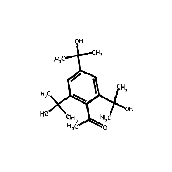 CC(=O)c1c(C(C)(C)O)cc(C(C)(C)O)cc1C(C)(C)O